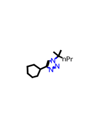 CCCC(C)(C)n1cc(C2CCCCC2)nn1